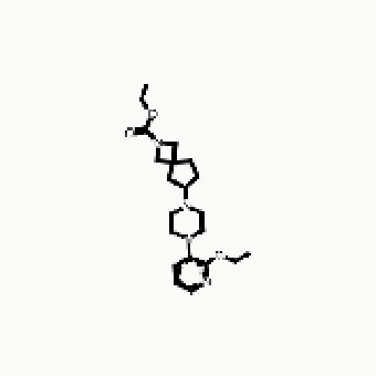 CCOC(=O)N1CC2(CCC(N3CCN(c4cccnc4OCC)CC3)C2)C1